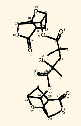 CCC(C)(CC(C)(C)C(=O)OC1C2CC3C(=O)OC1C3O2)C(=O)OC1C2CC3C(=O)OC1C3O2